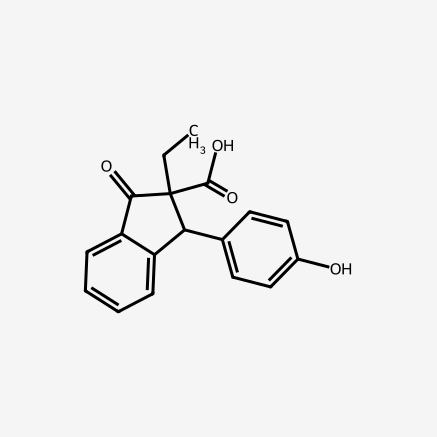 CCC1(C(=O)O)C(=O)c2ccccc2C1c1ccc(O)cc1